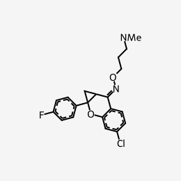 CNCCCON=C1c2ccc(Cl)cc2OC2(c3ccc(F)cc3)CC12